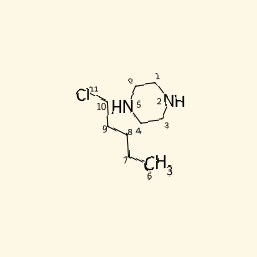 C1CNCCN1.CCCCCCl